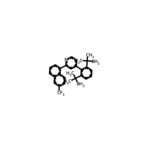 BC(C)(C)c1cccc(C(B)(C)C)c1-c1ccnc(-c2cccc3cc(C(F)(F)F)ccc23)c1